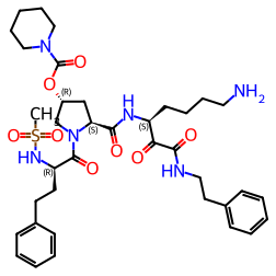 CS(=O)(=O)N[C@H](CCc1ccccc1)C(=O)N1C[C@H](OC(=O)N2CCCCC2)C[C@H]1C(=O)N[C@@H](CCCCN)C(=O)C(=O)NCCc1ccccc1